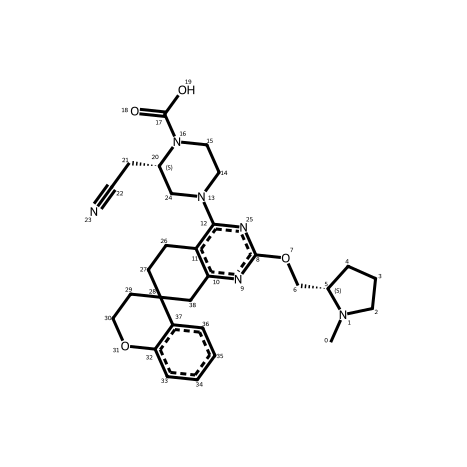 CN1CCC[C@H]1COc1nc2c(c(N3CCN(C(=O)O)[C@@H](CC#N)C3)n1)CCC1(CCOc3ccccc31)C2